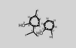 Cc1ccc(C(C)C)c(O)c1.Oc1ccccc1I